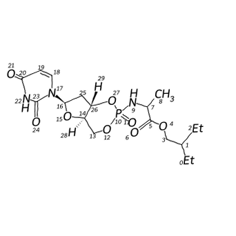 CCC(CC)COC(=O)C(C)NP1(=O)OC[C@H]2O[C@@H](n3ccc(=O)[nH]c3=O)C[C@@H]2O1